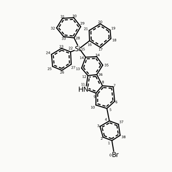 Brc1ccc(-c2ccc3c(c2)[nH]c2cc([Si](c4ccccc4)(c4ccccc4)c4ccccc4)ccc23)cc1